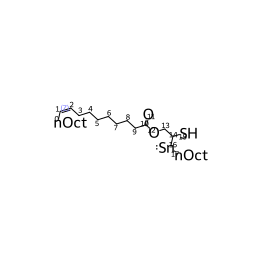 CCCCCCCC/C=C\CCCCCCCC(=O)OC[CH](S)[Sn][CH2]CCCCCCC